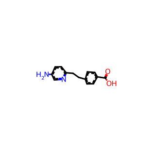 Nc1ccc(CCc2ccc(C(=O)O)cc2)nc1